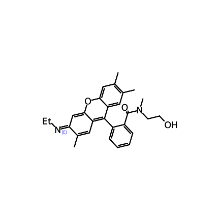 CC/N=c1\cc2oc3cc(C)c(C)cc3c(-c3ccccc3C(=O)N(C)CCO)c-2cc1C